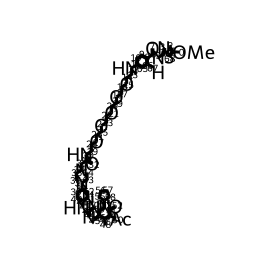 COc1cnc(NC(=O)c2ccc(NCCOCCOCCOCCOCCOCCNC(=O)CN3CCN(c4ccc(Nc5ncc6c(C)c(C(C)=O)c(=O)n(C7CCCC7)c6n5)nc4)CC3)cc2C)s1